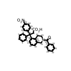 O=C(O)CC(c1ccccc1)(c1ccc([N+](=O)[O-])cc1)c1cccc2c1CCN(C(=O)c1ccccc1)C2